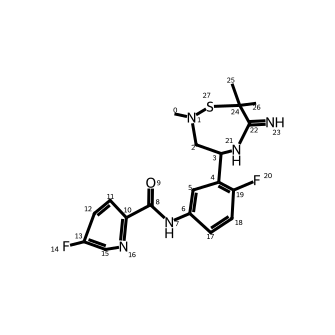 CN1CC(c2cc(NC(=O)c3ccc(F)cn3)ccc2F)NC(=N)C(C)(C)S1